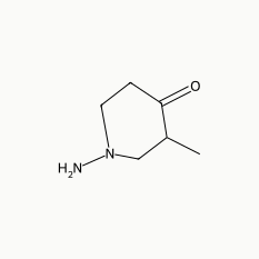 CC1CN(N)CCC1=O